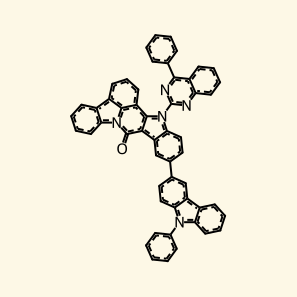 O=c1c2c3cc(-c4ccc5c(c4)c4ccccc4n5-c4ccccc4)ccc3n(-c3nc(-c4ccccc4)c4ccccc4n3)c2c2cccc3c4ccccc4n1c32